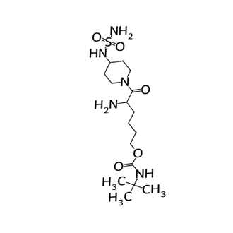 CC(C)(C)NC(=O)OCCCCC(N)C(=O)N1CCC(NS(N)(=O)=O)CC1